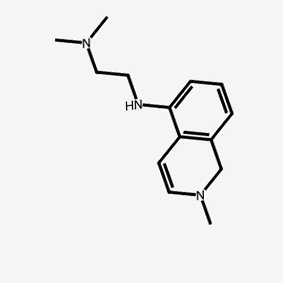 CN(C)CCNc1cccc2c1C=CN(C)C2